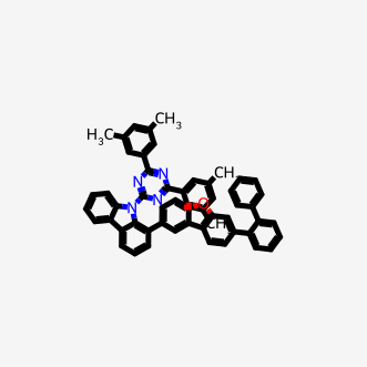 Cc1cc(C)cc(-c2nc(-c3cc(C)cc(C)c3)nc(-n3c4ccccc4c4cccc(-c5ccc6oc7cc(-c8ccccc8-c8ccccc8)ccc7c6c5)c43)n2)c1